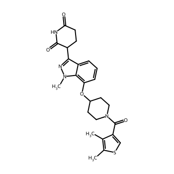 Cc1scc(C(=O)N2CCC(Oc3cccc4c(C5CCC(=O)NC5=O)nn(C)c34)CC2)c1C